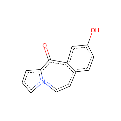 O=c1c2cc(O)ccc2ccn2cccc12